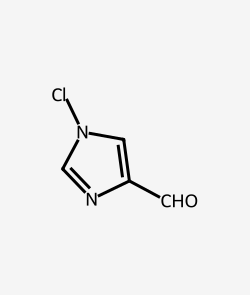 O=Cc1cn(Cl)cn1